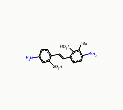 CCCCc1c(N)ccc(C=Cc2ccc(N)cc2S(=O)(=O)O)c1S(=O)(=O)O